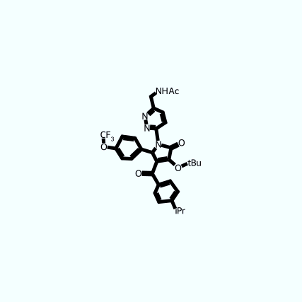 CC(=O)NCc1ccc(N2C(=O)C(OC(C)(C)C)=C(C(=O)c3ccc(C(C)C)cc3)C2c2ccc(OC(F)(F)F)cc2)nn1